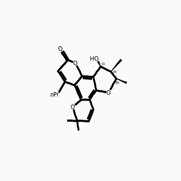 CCCc1cc(=O)oc2c3c(c4c(c12)OC(C)(C)C=C4)O[C@H](C)[C@H](C)[C@@H]3O